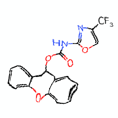 O=C(Nc1nc(C(F)(F)F)co1)OC1c2ccccc2Oc2ccccc21